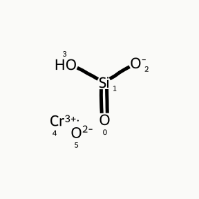 O=[Si]([O-])O.[Cr+3].[O-2]